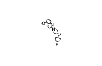 [O]c1cccc2nc(N3CCC(Oc4ccc(F)cc4)CC3)ccc12